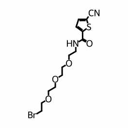 N#Cc1ccc(C(=O)NCCOCCOCCOCCBr)s1